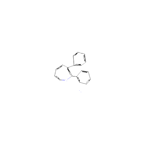 C1=CNC(c2ccccc2)=C(c2ccccc2)C=C1.[N]